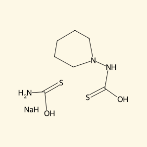 NC(O)=S.OC(=S)NN1CCCCC1.[NaH]